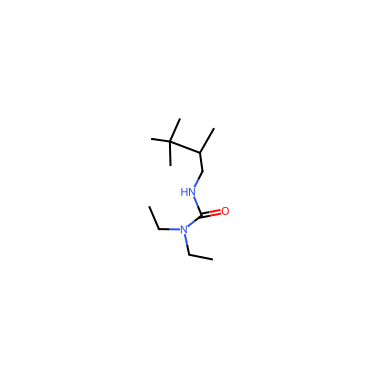 CCN(CC)C(=O)NCC(C)C(C)(C)C